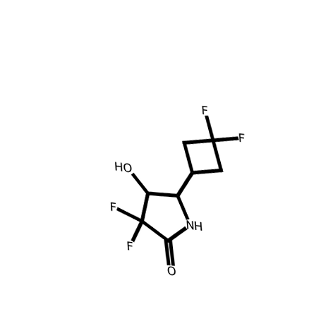 O=C1NC(C2CC(F)(F)C2)C(O)C1(F)F